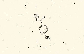 O=C(SC(F)(F)F)c1ccc(C(F)(F)F)cc1